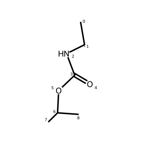 C[CH]NC(=O)OC(C)C